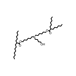 CCCCCCCCC(CCCCCC)C(=O)OCCCCCCN(CCCCO)CCCCCCOC(=O)C(CCCCCC)CCCCCC